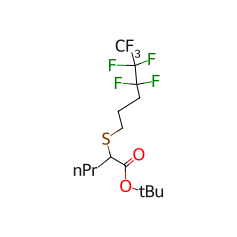 CCCC(SCCCC(F)(F)C(F)(F)C(F)(F)F)C(=O)OC(C)(C)C